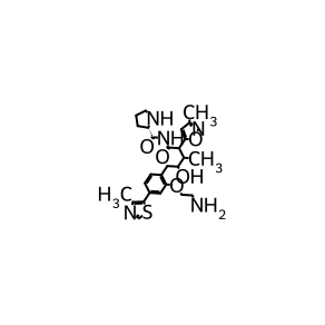 Cc1cc(C(C(=O)NC(=O)[C@@H]2CCCN2)C(C)C(O)Cc2ccc(-c3scnc3C)cc2OCCN)on1